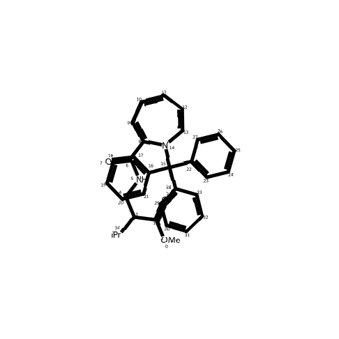 COC(=O)C(CNC(=O)C1=CC=CC=CN1C(c1ccccc1)(c1ccccc1)c1ccccc1)C(C)C